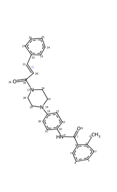 Cc1ccccc1C(=O)Nc1ccc(N2CCN(C(=O)/C=C/c3ccccc3)CC2)cc1